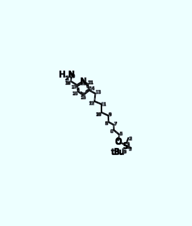 CC(C)(C)[Si](C)(C)OCCCCCCCCCc1ccc(CN)nc1